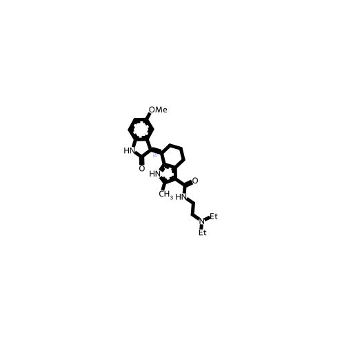 CCN(CC)CCNC(=O)c1c(C)[nH]c2c1CCC/C2=C1/C(=O)Nc2ccc(OC)cc21